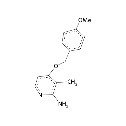 COc1ccc(COc2ccnc(N)c2C)cc1